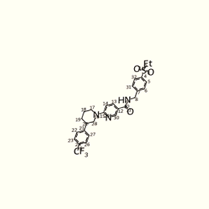 CCS(=O)(=O)c1ccc(CNC(=O)c2ccc(N3CCCC(c4ccc(C(F)(F)F)cc4)C3)nc2)cc1